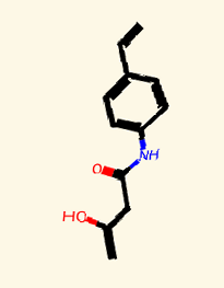 C=Cc1ccc(NC(=O)CC(=C)O)cc1